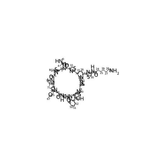 CNC(=O)C[C@@H]1NC(=O)c2csc(n2)-c2ccc(-c3nc(NC(=O)CCCCCN)cs3)nc2-c2csc(n2)-c2csc(n2)[C@H]([C@@H](O)c2ccccc2)NC(=O)CNC(=O)c2nc(sc2COC)[C@H](C(C)C)NC(=O)c2nc1sc2C